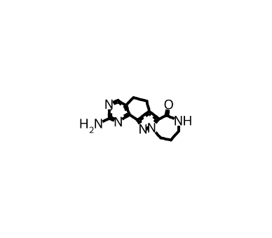 Nc1ncc2c(n1)-c1nn3c(c1CC2)C(=O)NCCC3